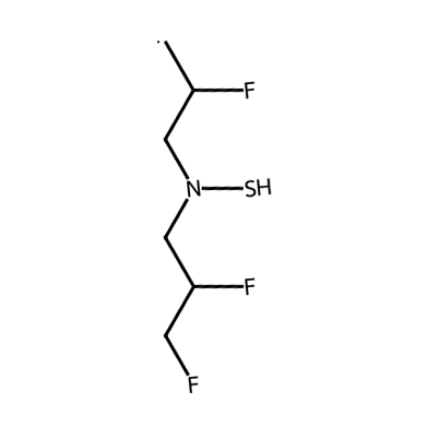 [CH2]C(F)CN(S)CC(F)CF